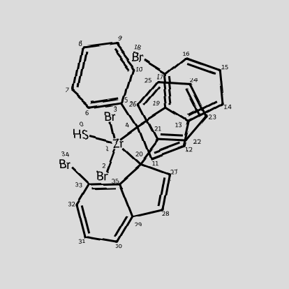 [SH][Zr]([Br])([Br])([C]1(c2ccccc2)C=Cc2cccc(Br)c21)[C]1(c2ccccc2)C=Cc2cccc(Br)c21